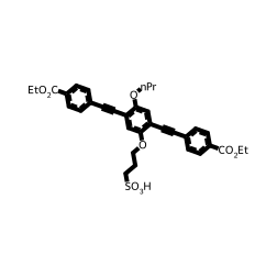 CCCOc1cc(C#Cc2ccc(C(=O)OCC)cc2)c(OCCCS(=O)(=O)O)cc1C#Cc1ccc(C(=O)OCC)cc1